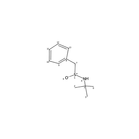 CC(C)(C)N[S+]([O-])Cc1ccccc1